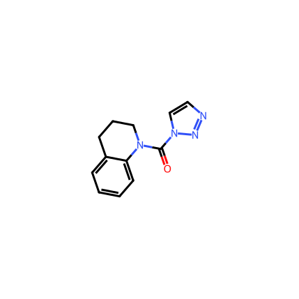 O=C(N1CCCc2ccccc21)n1ccnn1